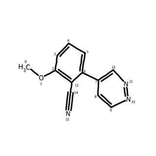 COc1cccc(-c2ccnnc2)c1C#N